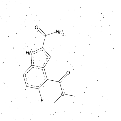 CN(C)C(=O)c1c(F)ccc2[nH]c(C(N)=O)cc12